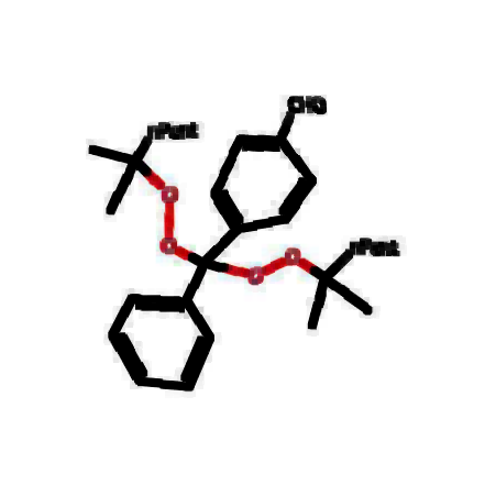 CCCCCC(C)(C)OOC(OOC(C)(C)CCCCC)(c1ccccc1)c1ccc(C=O)cc1